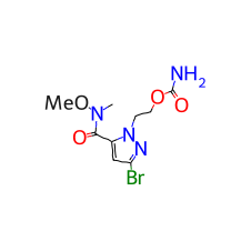 CON(C)C(=O)c1cc(Br)nn1CCOC(N)=O